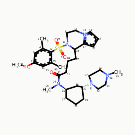 COc1cc(C)c(S(=O)(=O)N2CCn3cccc3C2CCCC(=O)N(C)[C@@H]2CCC[C@@H](N3CCN(C)CC3)C2)c(C)c1